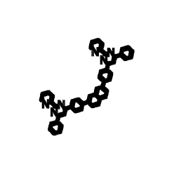 c1ccc(-c2cc(-c3ccc(-c4ccc5ccc(-c6ccc(-c7cc(-c8ccccc8)nc(-c8ccccn8)n7)cc6)cc5c4)cc3)nc(-c3ccccn3)n2)cc1